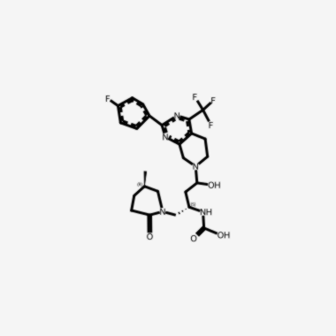 C[C@@H]1CCC(=O)N(C[C@H](CC(O)N2CCc3c(nc(-c4ccc(F)cc4)nc3C(F)(F)F)C2)NC(=O)O)C1